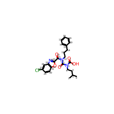 CC(C)CCN(C(=O)O)C(=O)N(CCCc1ccccc1)C(=O)c1nc2cc(Cl)ccc2o1